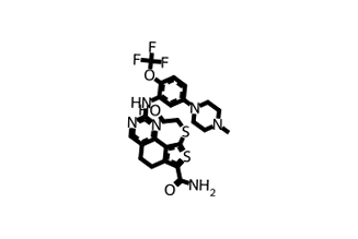 CN1CCN(c2ccc(OC(F)(F)F)c(Nc3ncc4c(n3)-c3c(SCCO)sc(C(N)=O)c3CC4)c2)CC1